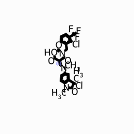 CN(/C=C(/C(=O)O)C(=O)N(C=O)Cc1cccc(C(F)(F)F)c1Cl)c1ccc2c(c1)C(C)(Cl)C(=O)N2C